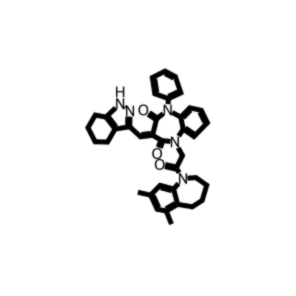 Cc1cc(C)c2c(c1)N(C(=O)CN1C(=O)C(=Cc3n[nH]c4c3CCCC4)C(=O)N(c3ccccc3)c3ccccc31)CCCC2